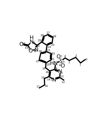 CCCCCS(=O)(=O)Nc1nc(C)nc(CCC)c1Cc1ccc(-c2ccccc2-c2noc(=O)[nH]2)cc1